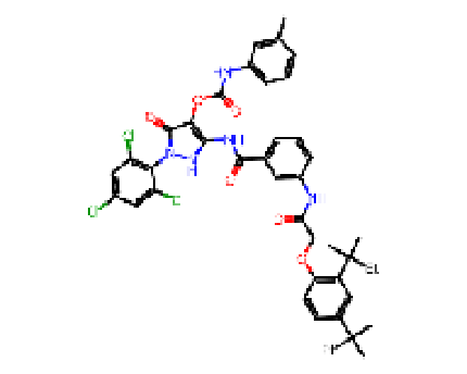 CCC(C)(C)c1ccc(OCC(=O)Nc2cccc(C(=O)Nc3[nH]n(-c4c(Cl)cc(Cl)cc4Cl)c(=O)c3OC(=O)Nc3cccc(C)c3)c2)c(C(C)(C)CC)c1